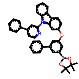 CC1(C)OB(c2cc(Oc3ccc4c5ccccc5n(-c5cc(-c6ccccc6)ccn5)c4c3)cc(-c3ccccc3)c2)OC1(C)C